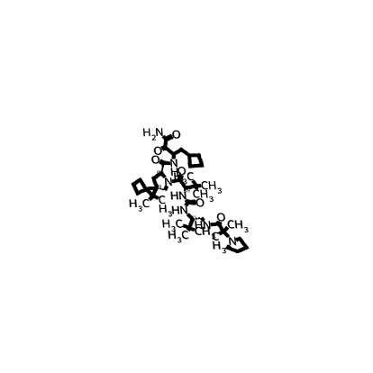 CC(C)(C)[C@H](NC(=O)N[C@H](CNC(=O)C(C)(C)N1CCCC1)C(C)(C)C)C(=O)N1C[C@]2(C[C@H]1C(=O)NC(CC1CCC1)C(=O)C(N)=O)C(C)(C)C21CCC1